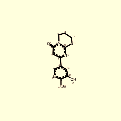 CC(C)(C)c1ncc(-c2cc(=O)n3c(n2)SCCC3)cc1O